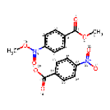 COC(=O)c1ccc([N+](=O)OC)cc1.O=C([O-])c1ccc([N+](=O)[O-])cc1